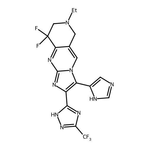 CCN1Cc2cn3c(-c4cnc[nH]4)c(-c4nc(C(F)(F)F)n[nH]4)nc3nc2C(F)(F)C1